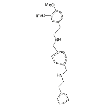 COc1ccc(CCNCc2ccc(CNCCc3ccccc3)cc2)cc1OC